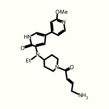 CCN(c1cc(-c2ccnc(OC)c2)c[nH]c1=O)C1CCN(C(=O)C=CCN)CC1